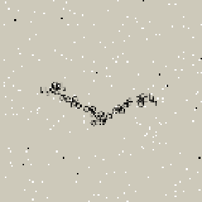 C=C(C)C(=O)OCCCOc1ccc(C(=O)Oc2ccc(-c3ccc(C(=O)Oc4cc(-c5c(OC(=O)c6ccc(-c7ccc(OC(=O)c8ccc(OCCCOC(=O)C(=C)C)cc8)cc7)cc6)ccc6ccccc56)c5ccccc5c4)cc3)cc2)cc1